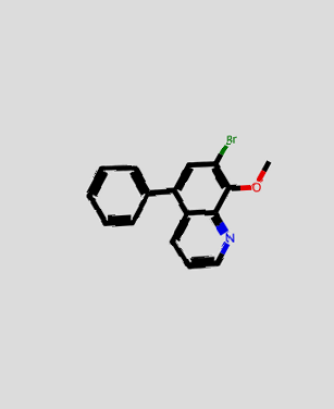 COc1c(Br)cc(-c2ccccc2)c2cccnc12